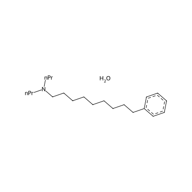 CCCN(CCC)CCCCCCCCCc1ccccc1.O